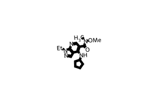 CCn1ncc2c(NC3CCCC3)c(C(=O)N(C)OC)cnc21